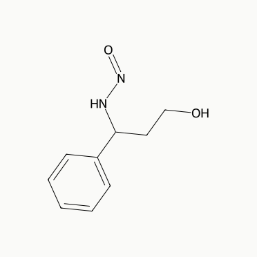 O=NNC(CCO)c1ccccc1